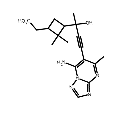 Cc1nc2ncnn2c(N)c1C#CC(C)(O)C1CC(CC(=O)O)C1(C)C